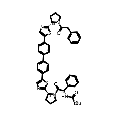 CC(C)(C)C(=O)N[C@H](C(=O)N1CCC[C@H]1c1ncc(-c2ccc(-c3ccc(-c4cnc([C@@H]5CCCN5C(=O)Cc5ccccc5)s4)cc3)cc2)s1)c1ccccc1